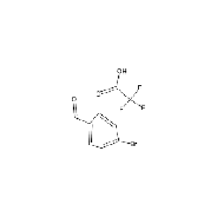 O=C(O)C(F)(F)F.O=Cc1ccc(Br)cc1